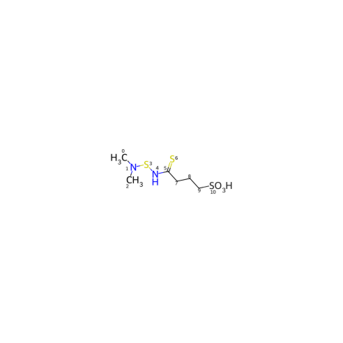 CN(C)SNC(=S)CCCS(=O)(=O)O